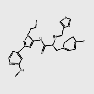 CCCn1nc(-c2ccnc(NC)c2)cc1NC(=O)[C@H](CC1=CC=C(F)CC1)NCc1cscn1